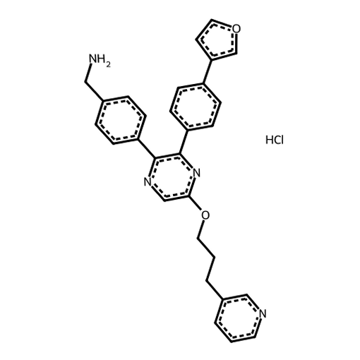 Cl.NCc1ccc(-c2ncc(OCCCc3cccnc3)nc2-c2ccc(-c3ccoc3)cc2)cc1